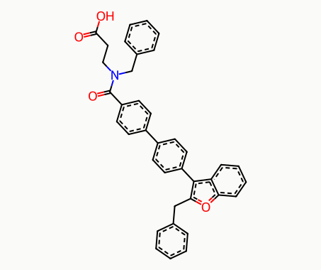 O=C(O)CCN(Cc1ccccc1)C(=O)c1ccc(-c2ccc(-c3c(Cc4ccccc4)oc4ccccc34)cc2)cc1